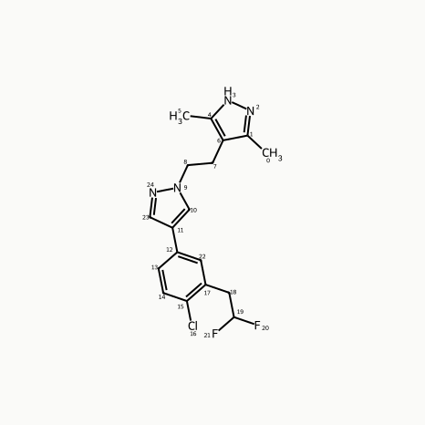 Cc1n[nH]c(C)c1CCn1cc(-c2ccc(Cl)c(CC(F)F)c2)cn1